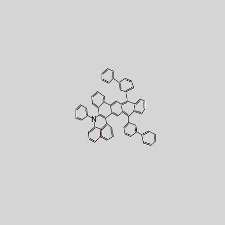 c1ccc(-c2cccc(-c3c4ccccc4c(-c4cccc(-c5ccccc5)c4)c4cc5c(cc34)c(-c3ccccc3)c(N(c3ccccc3)c3ccccc3)c3ccccc35)c2)cc1